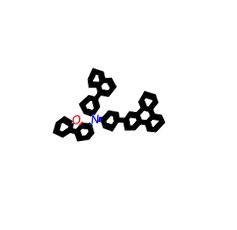 c1cc(-c2cccc3ccccc23)cc(N(c2ccc(-c3ccc4c5ccccc5c5ccccc5c4c3)cc2)c2cccc3c2oc2ccccc23)c1